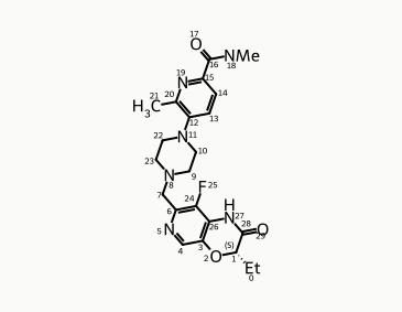 CC[C@@H]1Oc2cnc(CN3CCN(c4ccc(C(=O)NC)nc4C)CC3)c(F)c2NC1=O